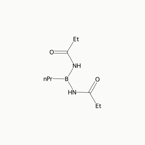 C[CH]CB(NC(=O)CC)NC(=O)CC